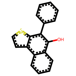 Oc1c(-c2ccccc2)c2sccc2c2ccccc12